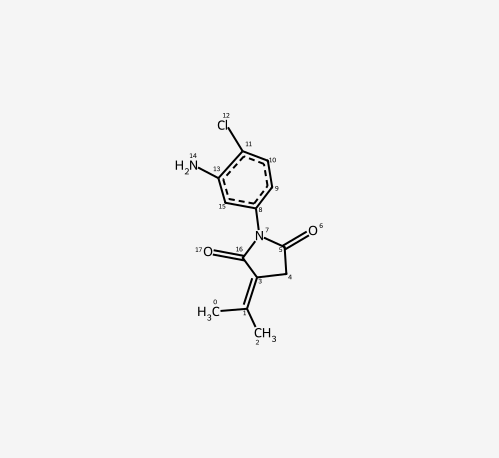 CC(C)=C1CC(=O)N(c2ccc(Cl)c(N)c2)C1=O